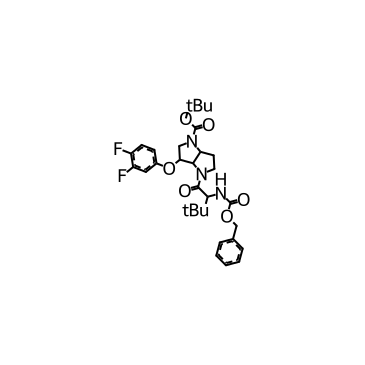 CC(C)(C)OC(=O)N1CC(Oc2ccc(F)c(F)c2)C2C1CCN2C(=O)C(NC(=O)OCc1ccccc1)C(C)(C)C